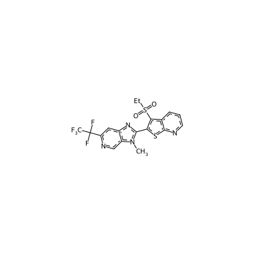 CCS(=O)(=O)c1c(-c2nc3cc(C(F)(F)C(F)(F)F)ncc3n2C)sc2ncccc12